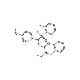 CCN(Cc1ccccn1)C(=O)CN(c1ccc(OC)nc1)S(=O)(=O)c1ncccc1C